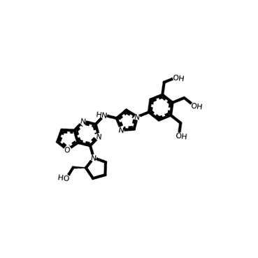 OCc1cc(-n2cnc(Nc3nc(N4CCC[C@H]4CO)c4occc4n3)c2)cc(CO)c1CO